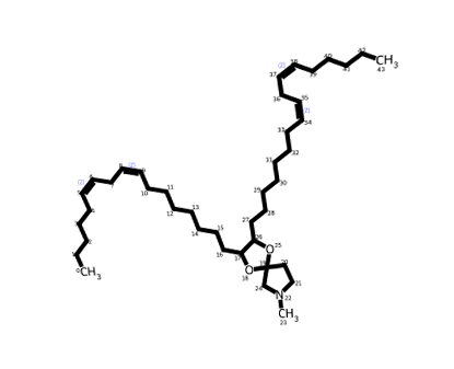 CCCCC/C=C\C/C=C\CCCCCCCC1OC2(CCN(C)C2)OC1CCCCCCC/C=C\C/C=C\CCCCC